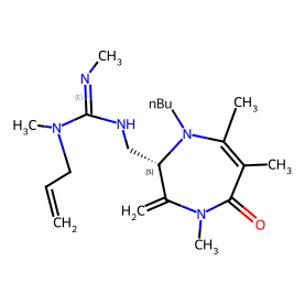 C=CCN(C)/C(=N/C)NC[C@H]1C(=C)N(C)C(=O)C(C)=C(C)N1CCCC